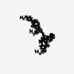 COc1ccc2c(c1)C(=O)N1CC(OCCCOc3cc4c(cc3OC)C(=O)N3C=C(c5ccc(N)cc5)C[C@H]3C=N4)(c3ccc4c(c3)OCO4)C[C@H]1C=N2